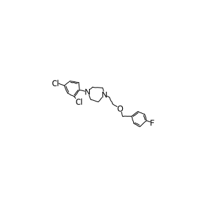 Fc1ccc(COCCN2CCN(c3ccc(Cl)cc3Cl)CC2)cc1